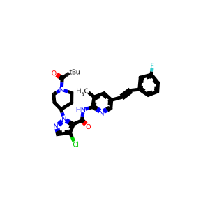 Cc1cc(C#Cc2cccc(F)c2)cnc1NC(=O)c1c(Cl)cnn1C1CCN(C(=O)C(C)(C)C)CC1